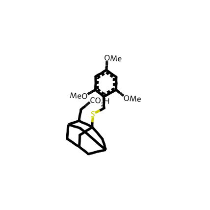 COc1cc(OC)c(CSC23CC4CC(CC(C4)C2CC(=O)O)C3)c(OC)c1